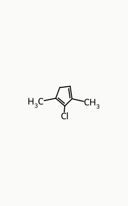 CC1=CCC(C)=C1Cl